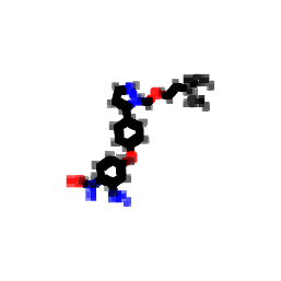 C[SiH](C)CCOCn1nccc1-c1ccc(Oc2ccc(NO)c(N)c2)cc1